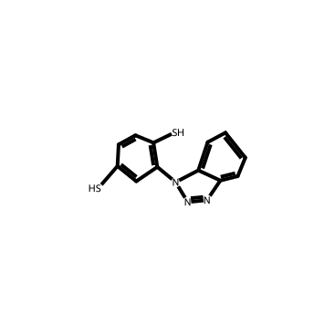 Sc1ccc(S)c(-n2nnc3ccccc32)c1